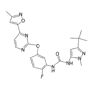 Cc1cc(-c2ccnc(Oc3ccc(F)c(NC(=O)Nc4cc(C(C)(C)C)nn4C)c3)n2)on1